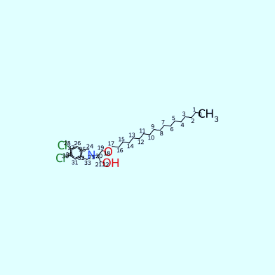 CCCCCCCCCCCCCCCCCCOCC(CO)N1Cc2cc(Cl)c(Cl)cc2C1